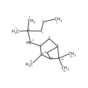 CCCC(C)(C)BC1CC2CC(C1C)C2(C)C